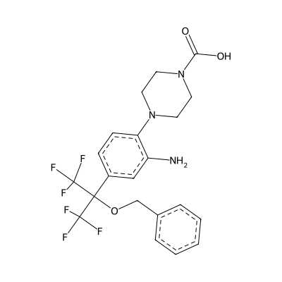 Nc1cc(C(OCc2ccccc2)(C(F)(F)F)C(F)(F)F)ccc1N1CCN(C(=O)O)CC1